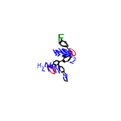 NCc1c(NC(=O)c2ccc(F)cc2)cccc1-c1ccc(C(N)=O)c2[nH]c3cc(CN4CCCC4)ccc3c12